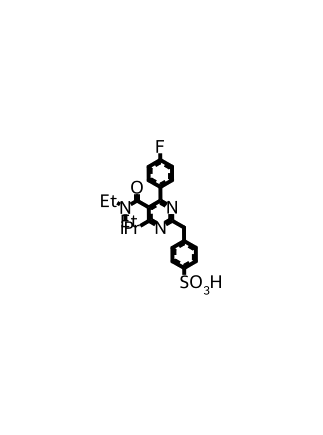 CCN(CC)C(=O)c1c(-c2ccc(F)cc2)nc(Cc2ccc(S(=O)(=O)O)cc2)nc1C(C)C